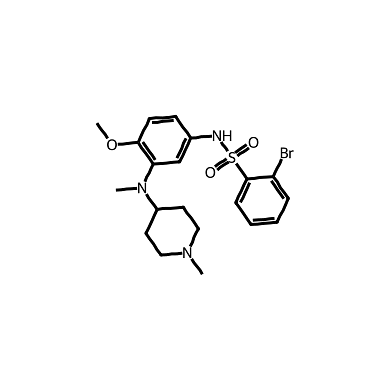 COc1ccc(NS(=O)(=O)c2ccccc2Br)cc1N(C)C1CCN(C)CC1